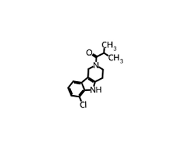 CC(C)C(=O)N1CCc2[nH]c3c(Cl)cccc3c2C1